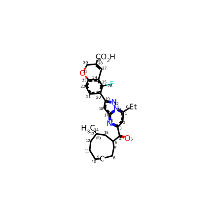 CCc1cc(C(=O)C2CCCCCC[C@@H](C)C2)nc2cc(-c3ccc4c(c3F)C=C(C(=O)O)CO4)nn12